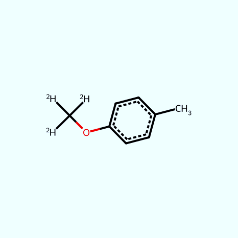 [2H]C([2H])([2H])Oc1ccc(C)cc1